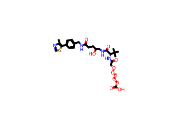 Cc1ncsc1-c1ccc(CNC(=O)CCC(O)CNC(=O)[C@@H](NC(=O)COOOOOC(=O)O)C(C)(C)C)cc1